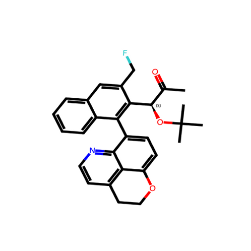 CC(=O)[C@@H](OC(C)(C)C)c1c(CF)cc2ccccc2c1-c1ccc2c3c(ccnc13)CCO2